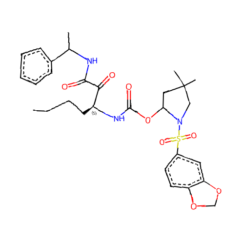 CCCC[C@H](NC(=O)OC1CC(C)(C)CN1S(=O)(=O)c1ccc2c(c1)OCO2)C(=O)C(=O)NC(C)c1ccccc1